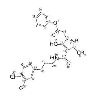 CC1NC(CC(=O)Oc2ccccc2)C(O)=C1C(=O)NCCCc1ccc(Cl)c(Cl)c1